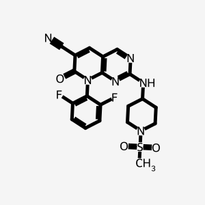 CS(=O)(=O)N1CCC(Nc2ncc3cc(C#N)c(=O)n(-c4c(F)cccc4F)c3n2)CC1